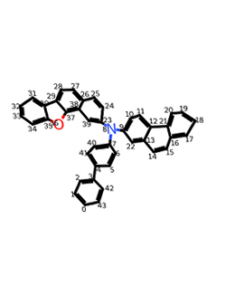 c1ccc(-c2ccc(N(c3ccc4c(ccc5ccccc54)c3)c3ccc4ccc5c6ccccc6oc5c4c3)cc2)cc1